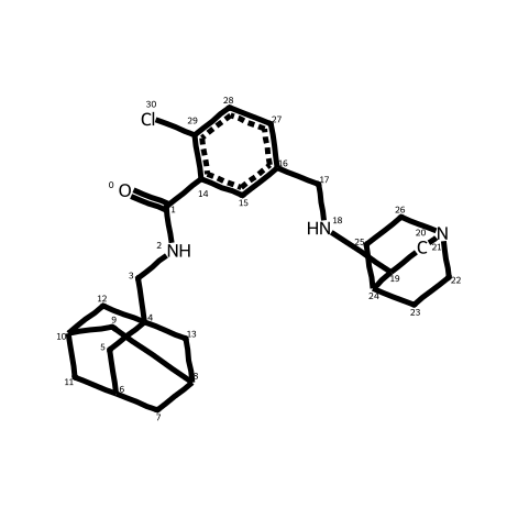 O=C(NCC12CC3CC(CC(C3)C1)C2)c1cc(CNC2CN3CCC2CC3)ccc1Cl